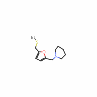 [CH2]CSCc1ccc(CN2CCCCC2)o1